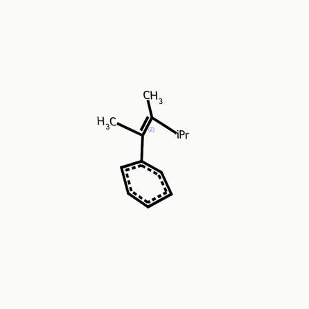 C/C(=C(\C)C(C)C)c1ccccc1